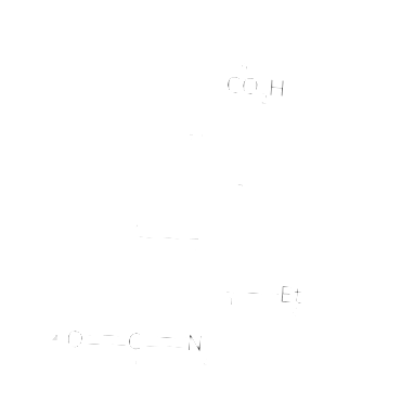 CCC(N=C=O)C(C)CCC(=O)O